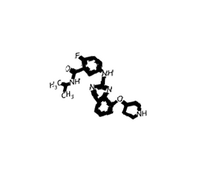 CC(C)NC(=O)c1cc(Nc2ncc3cccc(OC4CCNCC4)c3n2)ccc1F